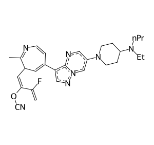 C=C(F)/C(=C\C1C=C(c2cnn3cc(N4CCC(N(CC)CCC)CC4)cnc23)C=CN=C1C)OC#N